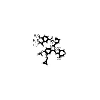 COc1ccc(S(=O)(=O)n2cccc2C(=O)OC(Cc2c(Cl)cncc2Cl)c2ccc(OC(F)F)c(OCC3CC3)c2)cc1C(=O)N(C)C